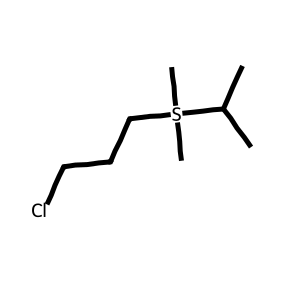 CC(C)S(C)(C)CCCCl